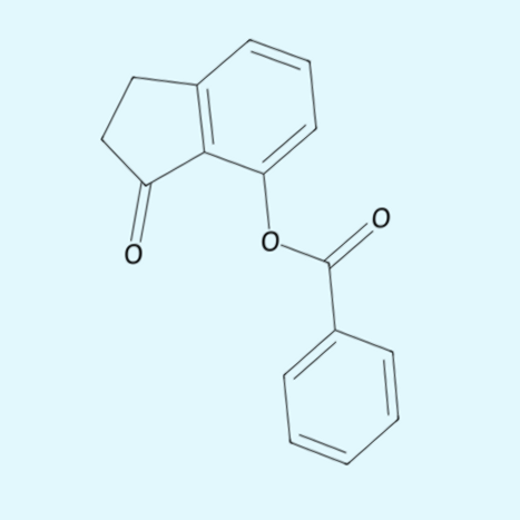 O=C(Oc1cccc2c1C(=O)CC2)c1ccccc1